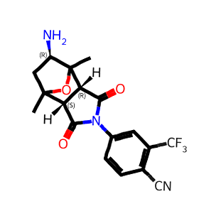 CC12C[C@@H](N)C(C)(O1)[C@@H]1C(=O)N(c3ccc(C#N)c(C(F)(F)F)c3)C(=O)[C@@H]12